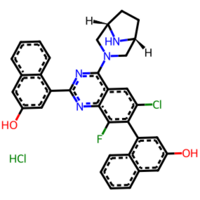 Cl.Oc1cc(-c2nc(N3C[C@H]4CC[C@@H](C3)N4)c3cc(Cl)c(-c4cc(O)cc5ccccc45)c(F)c3n2)c2ccccc2c1